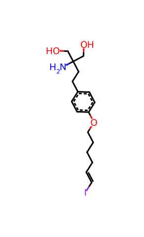 NC(CO)(CO)CCc1ccc(OCCCC/C=C/I)cc1